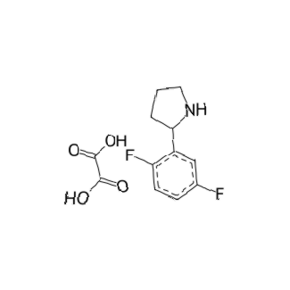 Fc1ccc(F)c(C2CCCN2)c1.O=C(O)C(=O)O